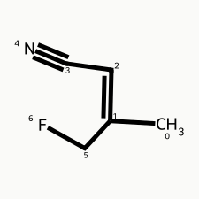 CC(=CC#N)CF